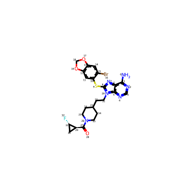 Nc1ncnc2c1nc(Sc1cc3c(cc1Br)OCO3)n2CCC1CCN(C(=O)[C@H]2C[C@@H]2F)CC1